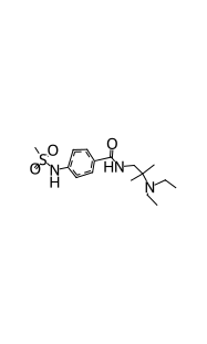 CCN(CC)C(C)(C)CNC(=O)c1ccc(NS(C)(=O)=O)cc1